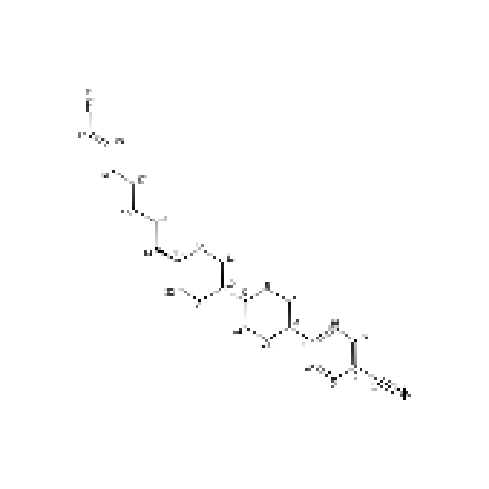 N#Cc1ccc(C2CCC([C@H]3CC[C@H](CCCCC/C=C/F)CC3)CC2)cc1